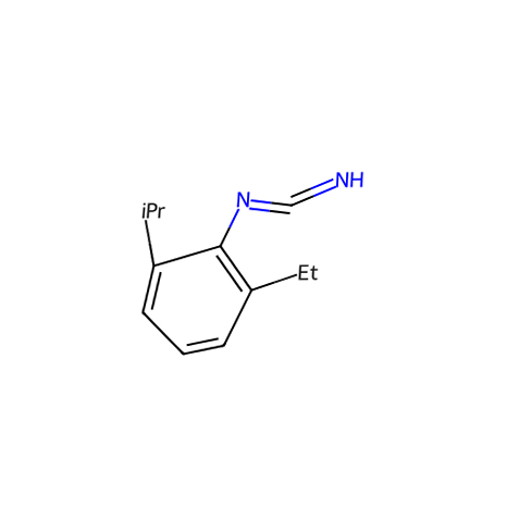 CCc1cccc(C(C)C)c1N=C=N